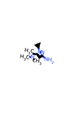 CC(c1cc(N)nn1C1CC1)N(C)C